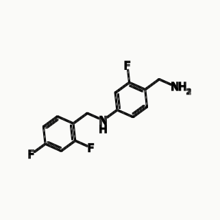 NCc1ccc(NCc2ccc(F)cc2F)cc1F